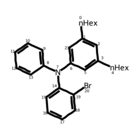 CCCCCCc1cc(CCCCCC)cc(N(c2ccccc2)c2ccccc2Br)c1